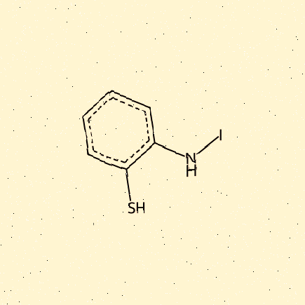 Sc1ccccc1NI